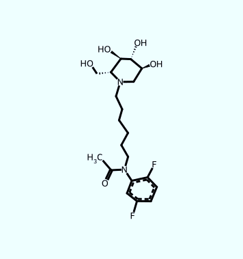 CC(=O)N(CCCCCCN1C[C@H](O)[C@@H](O)[C@H](O)[C@H]1CO)c1cc(F)ccc1F